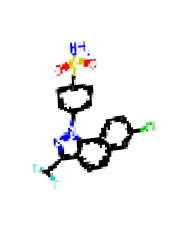 NS(=O)(=O)c1ccc(-n2nc(C(F)F)c3ccc4cc(Cl)ccc4c32)cc1